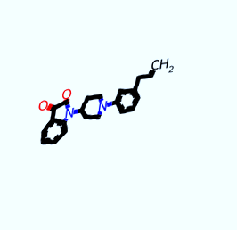 C=CCc1cccc(N2CCC(N3C(=O)C(=O)c4ccccc43)CC2)c1